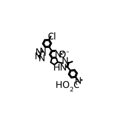 Cc1nc(C2CCc3cc(-c4cc(Cl)ccc4-n4cnnn4)c[n+]([O-])c32)[nH]c1-c1ccc(N(C)C(=O)O)cc1